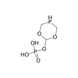 O=P(O)(O)OC1OCPCO1